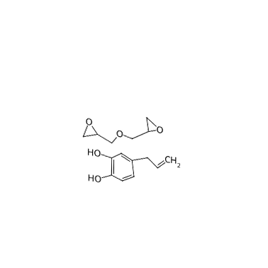 C(OCC1CO1)C1CO1.C=CCc1ccc(O)c(O)c1